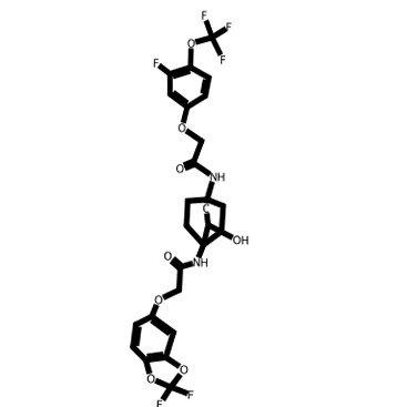 O=C(COc1ccc(OC(F)(F)F)c(F)c1)NC12CCC(NC(=O)COc3ccc4c(c3)OC(F)(F)O4)(CC1)C(O)C2